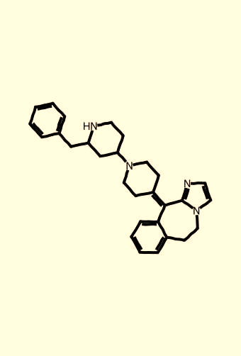 c1ccc(CC2CC(N3CCC(=C4c5ccccc5CCn5ccnc54)CC3)CCN2)cc1